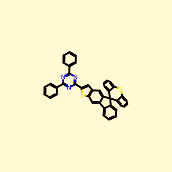 c1ccc(-c2nc(-c3ccccc3)nc(-c3cc4cc5c(cc4s3)-c3ccccc3C53c4ccccc4Sc4ccccc43)n2)cc1